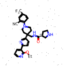 CCOc1ncccc1-c1ccc(C2(CNC(=O)[C@H]3CCNC3)CCN(c3ccc(C(F)(F)F)cc3C#N)CC2)cn1